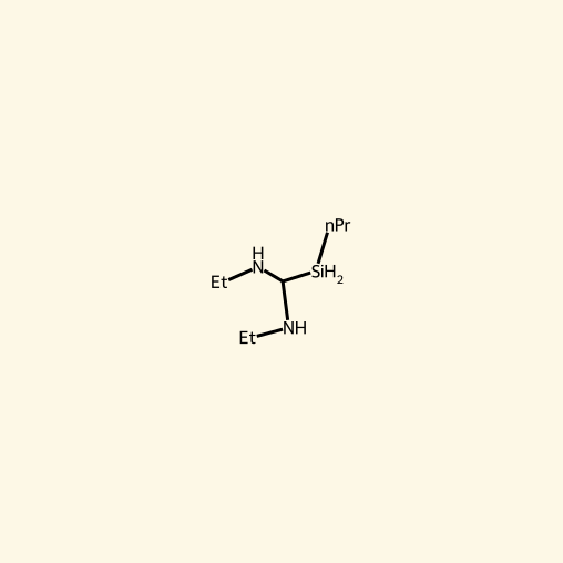 CCC[SiH2]C(NCC)NCC